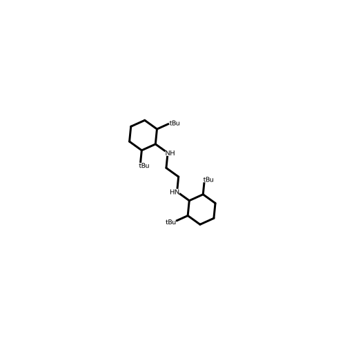 CC(C)(C)C1CCCC(C(C)(C)C)C1NCCNC1C(C(C)(C)C)CCCC1C(C)(C)C